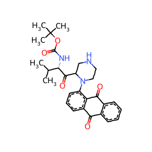 CC(C)[C@H](NC(=O)OC(C)(C)C)C(=O)C1CNCCN1c1cccc2c1C(=O)c1ccccc1C2=O